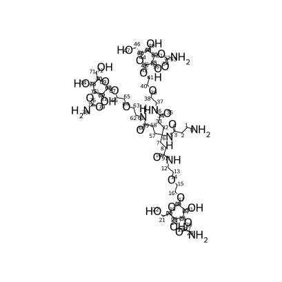 NCCC(=O)NC(CCC(=O)NCCOCCO[C@H]1O[C@H](CO)[C@@H](O)[C@H](OC(N)=O)[C@@H]1O)(CCC(=O)NCCOCCO[C@H]1O[C@H](CO)[C@@H](O)[C@H](OC(N)=O)[C@@H]1O)CCC(=O)NCCOCCO[C@H]1O[C@H](CO)[C@@H](O)[C@H](OC(N)=O)[C@@H]1O